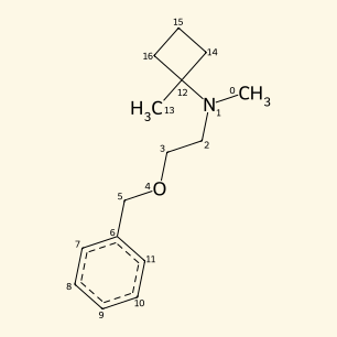 CN(CCOCc1ccccc1)C1(C)CCC1